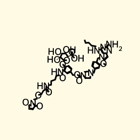 CCCCCNc1nc(N)nc2ccn(Cc3ccc(CN4CCN(C(=O)OCc5ccc(O[C@@H]6O[C@H](C(=O)O)[C@@H](O)[C@H](O)[C@H]6O)c(NC(=O)CCCCNC(=O)CCOCCN6C(=O)C=CC6=O)c5)CC4)cc3OC)c12